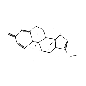 CCSC1=CC[C@H]2[C@@H]3CCC4=CC(=O)C=C[C@]4(C)[C@H]3[C@@H](O)C[C@]12C